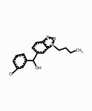 CCCCn1nnc2ccc(C(O)c3cccc(Cl)c3)cc21